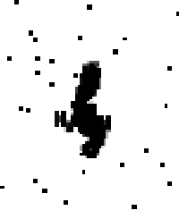 CN1C(=O)C(NC(=O)c2ncn(Cc3ccccc3)n2)COc2cc(CN3CCn4nc(C(F)(F)F)nc4C3)ccc21